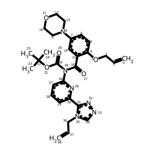 C=CCOc1ccc(N2CCOCC2)cc1C(=O)N(C(=O)OC(C)(C)C)c1cccc(-c2nncn2CC=C)n1